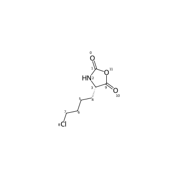 O=C1N[C@@H](CCCCCl)C(=O)O1